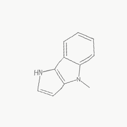 Cn1c2ccccc2c2[nH]ccc21